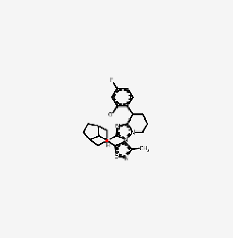 Cc1cc(N2CC3CCC(C2)C3Nc2nc3n(n2)CCCC3c2ccc(F)cc2Cl)sn1